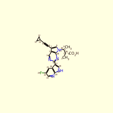 C[C@H]([C@@H](C)C(=O)O)n1cc(C#CC2CC2)c2cnc(-c3c[nH]c4ncc(F)cc34)nc21